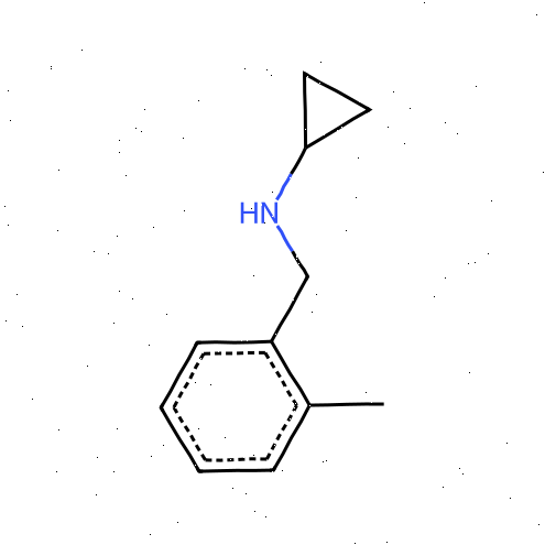 Cc1ccccc1CNC1CC1